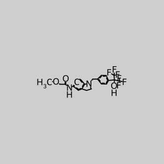 COCC(=O)Nc1ccc2c(c1)CCN2Cc1ccc(C(O)(C(F)(F)F)C(F)(F)F)cc1